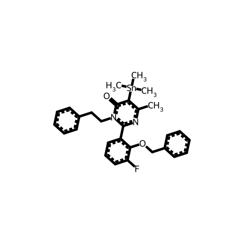 Cc1nc(-c2cccc(F)c2OCc2ccccc2)n(CCc2ccccc2)c(=O)[c]1[Sn]([CH3])([CH3])[CH3]